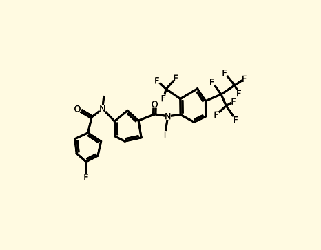 CN(C(=O)c1ccc(F)cc1)c1cccc(C(=O)N(I)c2ccc(C(F)(C(F)(F)F)C(F)(F)F)cc2C(F)(F)F)c1